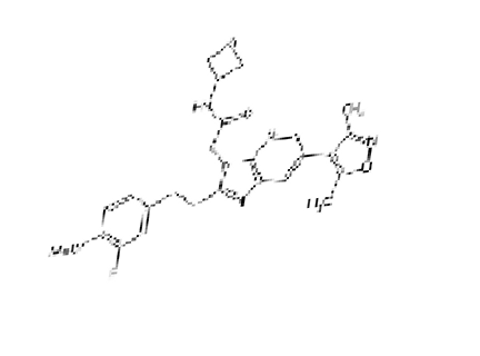 COc1ccc(CCc2nc3cc(-c4c(C)noc4C)cnc3n2CC(=O)NC2COC2)cc1F